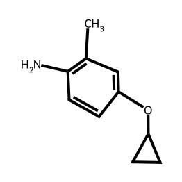 Cc1cc(OC2CC2)ccc1N